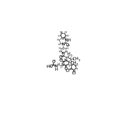 CC(C)(C)c1c(-c2cccc(Cl)c2Cl)c(=O)n(CCNC(=O)O)c(=O)n1CC(=O)N1CCC(N2CCc3ccccc3NC2=O)CC1